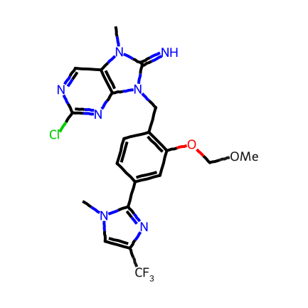 COCOc1cc(-c2nc(C(F)(F)F)cn2C)ccc1Cn1c(=N)n(C)c2cnc(Cl)nc21